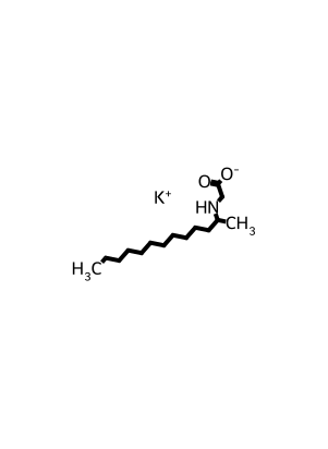 CCCCCCCCCCCC(C)NCC(=O)[O-].[K+]